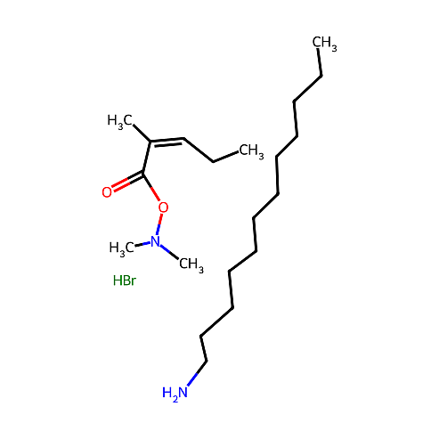 Br.CCC=C(C)C(=O)ON(C)C.CCCCCCCCCCCCN